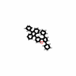 c1ccc(-c2c3ccccc3c(-c3ccc4oc5c(-c6ccccc6)ccc(-c6ccccc6)c5c4c3)c3ccccc23)cc1